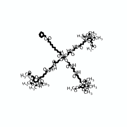 CC(=O)NC1[C@H](OCCCCC(=O)NCCCNC(=O)CCOCC(COCCC(=O)NCCCNC(=O)CCCCO[C@@H]2OC(COC(C)=O)[C@@H](OC(C)=O)[C@H](OC(C)=O)C2NC(C)=O)(COCCC(=O)NCCCNC(=O)CCCCO[C@@H]2OC(COC(C)=O)[C@@H](OC(C)=O)[C@H](OC(C)=O)C2NC(C)=O)NC(=O)CCCCCCCCCCC(=O)OCc2ccccc2)OC(COC(C)=O)[C@@H](OC(C)=O)[C@@H]1OC(C)=O